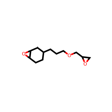 [CH]1C(CCCOCC2CO2)CCC2OC12